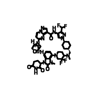 CN(C[C@H]1CC[C@H](n2cc(NC(=O)c3cnn4ccc(N5C[C@@H]6C[C@H]5CO6)nc34)c(C(F)F)n2)CC1)C1CCN(c2cccc3c2n(C)c(=O)n3C2CCC(=O)NC2=O)CC1(F)F